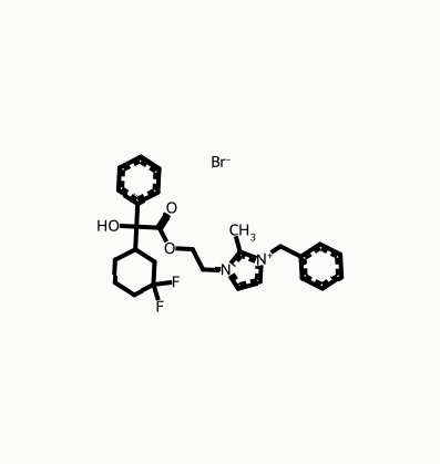 Cc1n(CCOC(=O)C(O)(c2ccccc2)C2CCCC(F)(F)C2)cc[n+]1Cc1ccccc1.[Br-]